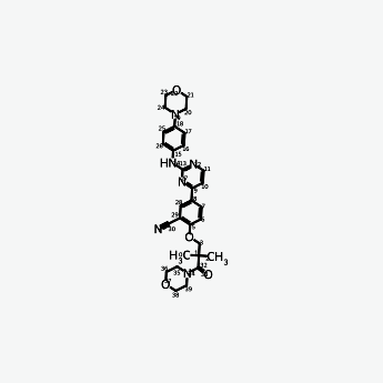 CC(C)(COc1ccc(-c2ccnc(Nc3ccc(N4CCOCC4)cc3)n2)cc1C#N)C(=O)N1CCOCC1